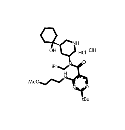 COCCCNc1nc(C(C)(C)C)ncc1C(=O)N(CC(C)C)[C@@H]1CNC[C@H](C2(O)CCCCC2)C1.Cl.Cl